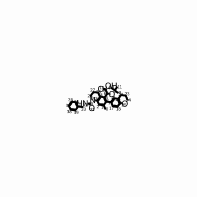 Cc1cc2c(c(C(OC(C)(C)C)C(=O)O)c1-c1ccc3c(c1)CCCO3)CCCN2C(=O)NCc1ccccc1